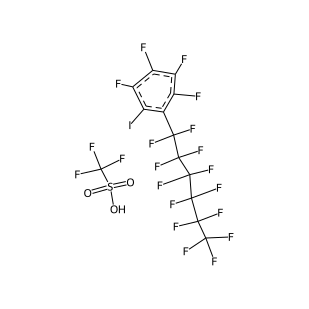 Fc1c(F)c(F)c(C(F)(F)C(F)(F)C(F)(F)C(F)(F)C(F)(F)C(F)(F)F)c(I)c1F.O=S(=O)(O)C(F)(F)F